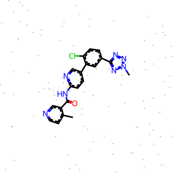 Cc1ccncc1C(=O)Nc1ccc(-c2cc(-c3nnn(C)n3)ccc2Cl)cn1